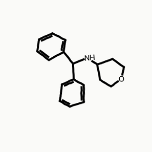 c1ccc(C(NC2CCOCC2)c2ccccc2)cc1